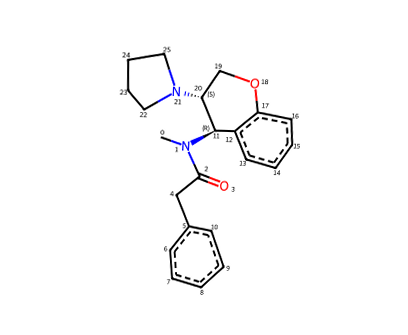 CN(C(=O)Cc1ccccc1)[C@@H]1c2ccccc2OC[C@H]1N1CCCC1